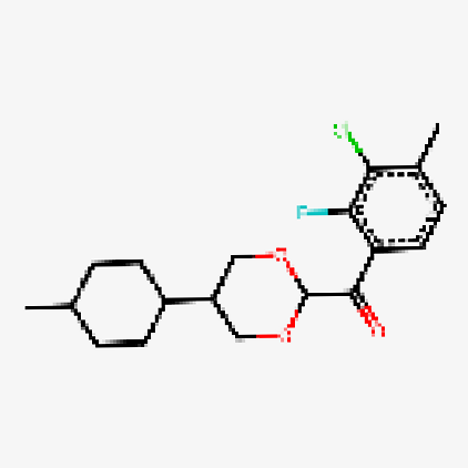 Cc1ccc(C(=O)C2OCC(C3CCC(C)CC3)CO2)c(F)c1Cl